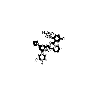 C[C@@H]1CN(c2cc(N3CCC3)nc3cc([C@@H]4CCCCN4C(=O)c4cc(Cl)ccc4NS(C)(=O)=O)nn23)CCN1